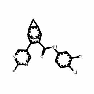 O=C(Nc1ccc(Cl)c(Cl)c1)c1c(-c2cnc(F)nc2)c2oc1c1c2C1